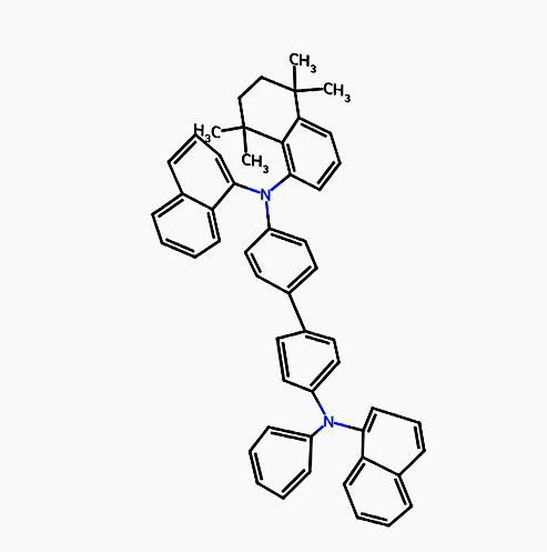 CC1(C)CCC(C)(C)c2c(N(c3ccc(-c4ccc(N(c5ccccc5)c5cccc6ccccc56)cc4)cc3)c3cccc4ccccc34)cccc21